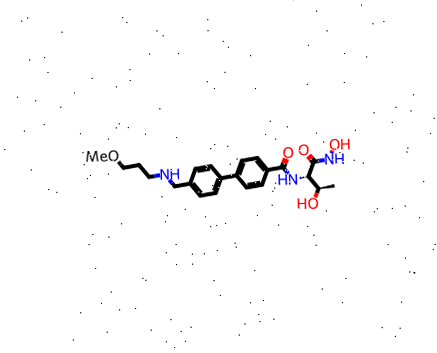 COCCCNCc1ccc(-c2ccc(C(=O)N[C@H](C(=O)NO)[C@@H](C)O)cc2)cc1